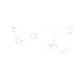 COc1cc(/C=C/c2cccc[n+]2CCCCCCN/C=C\N(C)CCCCCCSSCCCCCCn2cc[n+](CCCCCC[n+]3ccccc3/C=C/c3cc(OC)c(OC)c(OC)c3)c2)cc(OC)c1OC